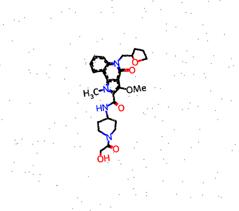 COc1c(C(=O)NC2CCN(C(=O)CO)CC2)n(C)c2c1c(=O)n(CC1CCCO1)c1ccccc21